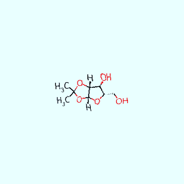 CC1(C)O[C@H]2O[C@@H](CO)[C@H](O)[C@H]2O1